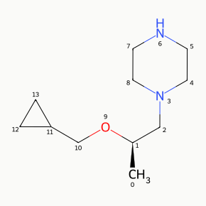 C[C@H](CN1CCNCC1)OCC1CC1